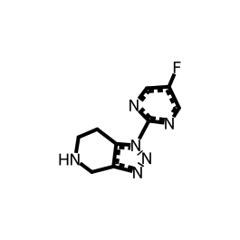 Fc1cnc(-n2nnc3c2CCNC3)nc1